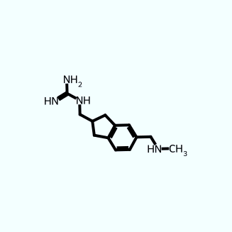 CNCc1ccc2c(c1)CC(CNC(=N)N)C2